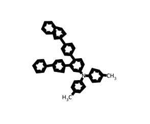 Cc1ccc(N(c2ccc(C)cc2)c2ccc(-c3ccc(-c4ccc5ccccc5c4)cc3)c(-c3ccc(-c4ccccc4)cc3)c2)cc1